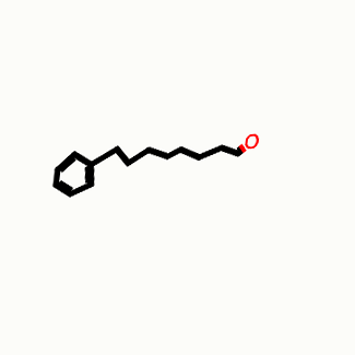 O=CCCCCCCCc1ccccc1